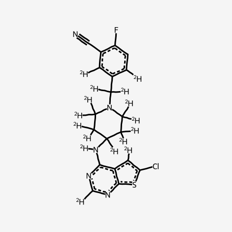 [2H]c1nc(N([2H])C2([2H])C([2H])([2H])C([2H])([2H])N(C([2H])([2H])c3c([2H])cc(F)c(C#N)c3[2H])C([2H])([2H])C2([2H])[2H])c2c([2H])c(Cl)sc2n1